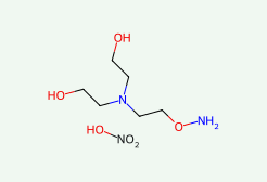 NOCCN(CCO)CCO.O=[N+]([O-])O